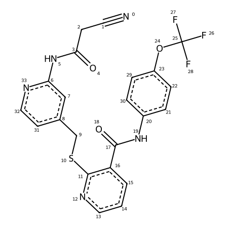 N#CCC(=O)Nc1cc(CSc2ncccc2C(=O)Nc2ccc(OC(F)(F)F)cc2)ccn1